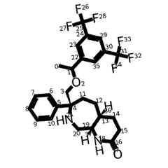 CC(OC[C@@]1(c2ccccc2)CC[C@@H]2CCC(=O)N[C@@H]2CN1)c1cc(C(F)(F)F)cc(C(F)(F)F)c1